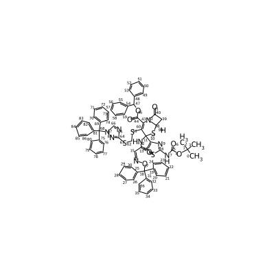 CC(C)(C)OC(=O)Nc1nc(C2(NC(=O)/C=N\OC(c3ccccc3)(c3ccccc3)c3ccccc3)S[C@@H]3CC(=O)N3C(C(=O)OC(c3ccccc3)c3ccccc3)=C2SCSc2ncn(C(c3ccccc3)(c3ccccc3)c3ccccc3)n2)cs1